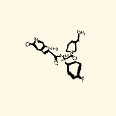 O=C(N[C@@H](Cc1ccc(F)cc1)C(=O)N1CCCC(CO)C1)c1cc2cc(Cl)ncc2[nH]1